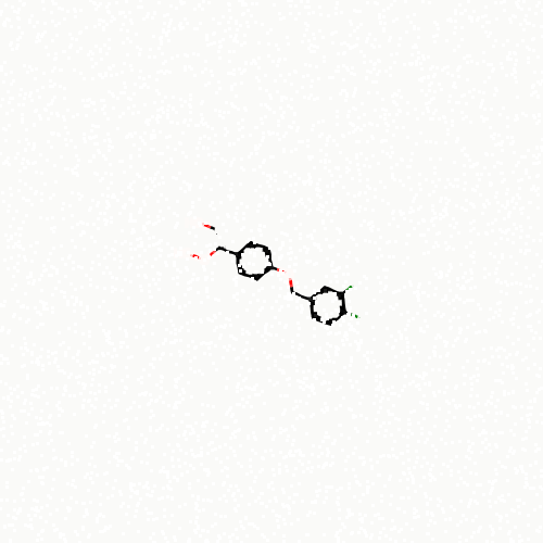 OC[C@@H](OO)c1ccc(OCc2ccc(Cl)c(Cl)c2)cc1